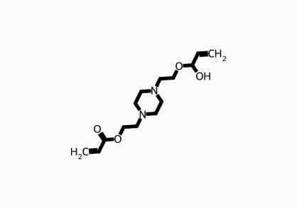 C=CC(=O)OCCN1CCN(CCOC(O)C=C)CC1